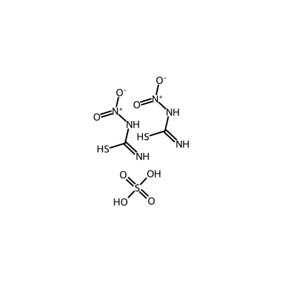 N=C(S)N[N+](=O)[O-].N=C(S)N[N+](=O)[O-].O=S(=O)(O)O